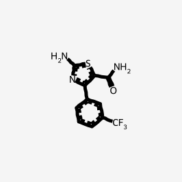 NC(=O)c1sc(N)nc1-c1cccc(C(F)(F)F)c1